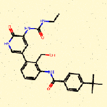 CCNC(=O)Nc1cc(-c2cccc(NC(=O)c3ccc(C(C)(C)C)cc3)c2CO)c[nH]c1=O